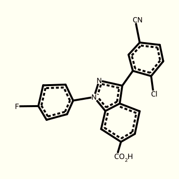 N#Cc1ccc(Cl)c(-c2nn(-c3ccc(F)cc3)c3cc(C(=O)O)ccc23)c1